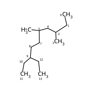 CCC(C)CC(C)CCC(CC)CC